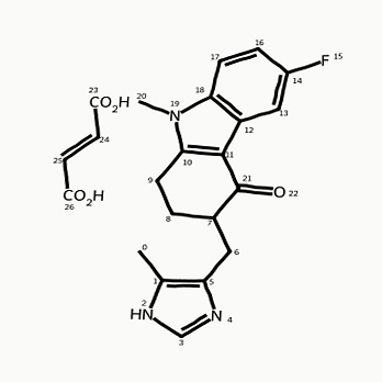 Cc1[nH]cnc1CC1CCc2c(c3cc(F)ccc3n2C)C1=O.O=C(O)C=CC(=O)O